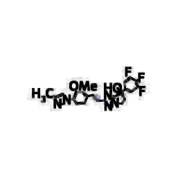 COc1cc(/C=C/c2nc3n(n2)CC[C@@]3(O)c2cc(F)c(F)c(F)c2)ccc1-n1cnc(C)c1